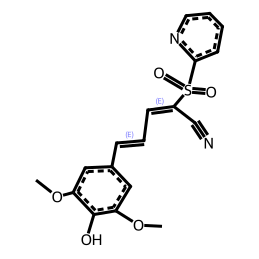 COc1cc(/C=C/C=C(\C#N)S(=O)(=O)c2ccccn2)cc(OC)c1O